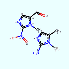 Cc1cnc(N)n1C.Cn1c(C=O)cnc1[N+](=O)[O-]